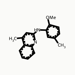 COc1ccc(C)cc1Nc1cc(C)c2ccccc2n1